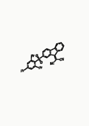 CC(C)c1cc(C(C)C)c(S(=O)(=O)c2ccc3c(c2)C(=C(C#N)C#N)c2ccccc2-3)c(C(C)C)c1